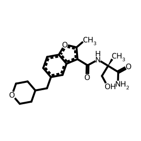 Cc1oc2ccc(CC3CCOCC3)cc2c1C(=O)N[C@@](C)(CO)C(N)=O